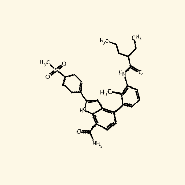 CCCC(CC)C(=O)Nc1cccc(-c2ccc(C(N)=O)c3[nH]c(C4=CCC(S(C)(=O)=O)CC4)cc23)c1C